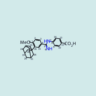 COc1ccc(C(=N)Nc2ccc(C(=O)O)cc2)cc1C12CC3CC(CC(C3)C1)C2